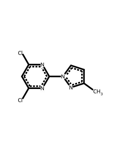 Cc1ccn(-c2nc(Cl)cc(Cl)n2)n1